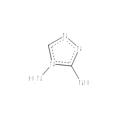 Nc1nncn1N